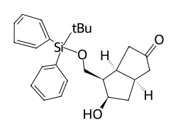 CC(C)(C)[Si](OC[C@H]1[C@H]2CC(=O)C[C@H]2C[C@H]1O)(c1ccccc1)c1ccccc1